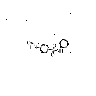 O=[C]Nc1ccc(S(=O)(=O)Nc2ccccc2)cc1